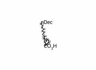 CCCCCCCCCCCCCCCCSCCN1CCCC(C(=O)O)C1